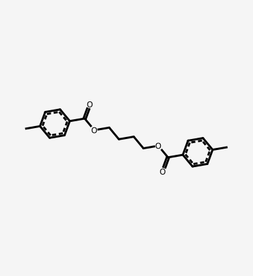 Cc1ccc(C(=O)OCCCCOC(=O)c2ccc(C)cc2)cc1